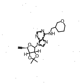 C#C[C@H]1O[C@@H](n2cnc3c(NCC4CCCOC4)ncnc32)[C@@H]2OC(C)(C)O[C@@H]21